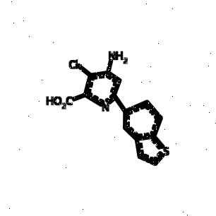 Nc1cc(-c2ccc3sccc3c2)nc(C(=O)O)c1Cl